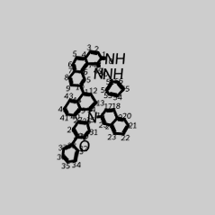 N=C1C=Cc2ccc3ccc(-c4ccc(N(c5ccc6ccccc6c5)c5ccc6c(c5)oc5ccccc56)c5ccccc45)cc3c2/C1=N/Nc1ccccc1